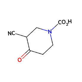 N#CC1CN(C(=O)O)CCC1=O